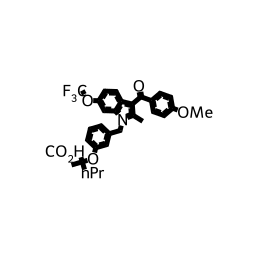 CCCC(C)(Oc1cccc(Cn2c(C)c(C(=O)c3ccc(OC)cc3)c3ccc(OC(F)(F)F)cc32)c1)C(=O)O